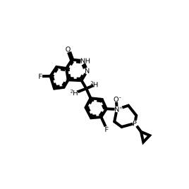 [2H]C([2H])(c1ccc(F)c([N+]2([O-])CCP(C3CC3)CC2)c1)c1n[nH]c(=O)c2cc(F)ccc12